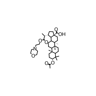 CC(=O)O[C@@H]1CC[C@@]2(C)C(CC[C@]3(C)C2CCC2C4[C@H](C(C)C(=O)OCCN5CCOCC5)CC[C@]4(C(=O)O)CC[C@]23C)C1(C)C